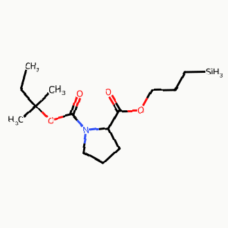 CCC(C)(C)OC(=O)N1CCCC1C(=O)OCCC[SiH3]